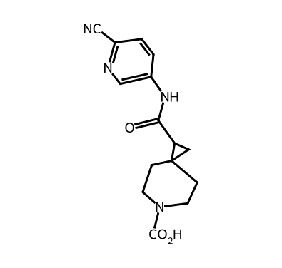 N#Cc1ccc(NC(=O)C2CC23CCN(C(=O)O)CC3)cn1